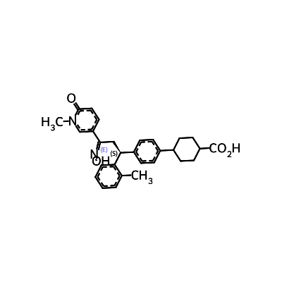 Cc1ccccc1[C@@H](C/C(=N\O)c1ccc(=O)n(C)c1)c1ccc(C2CCC(C(=O)O)CC2)cc1